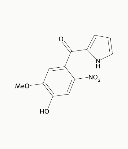 COc1cc(C(=O)c2ccc[nH]2)c([N+](=O)[O-])cc1O